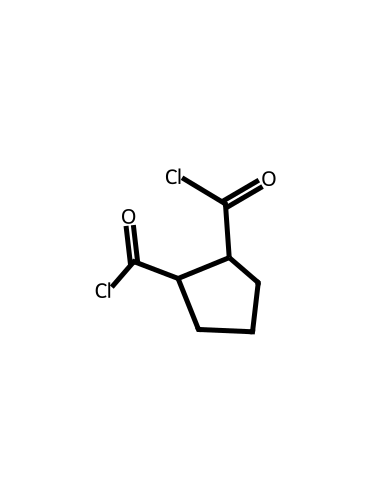 O=C(Cl)C1CCCC1C(=O)Cl